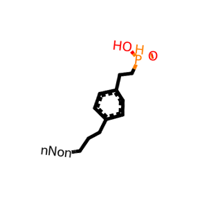 CCCCCCCCCCCCc1ccc(CC[PH](=O)O)cc1